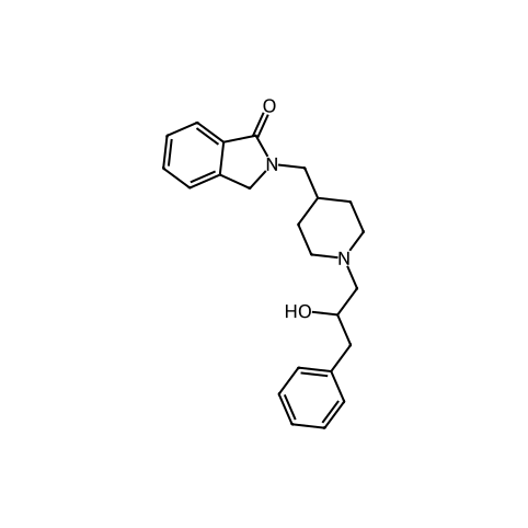 O=C1c2ccccc2CN1CC1CCN(CC(O)Cc2ccccc2)CC1